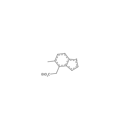 CCOC(=O)Cc1c(C)ccc2sccc12